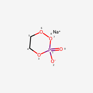 O=P1([O-])OCCOO1.[Na+]